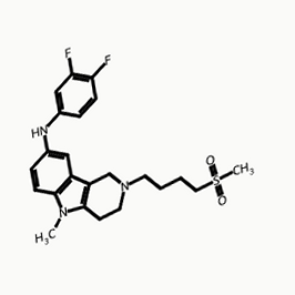 Cn1c2c(c3cc(Nc4ccc(F)c(F)c4)ccc31)CN(CCCCS(C)(=O)=O)CC2